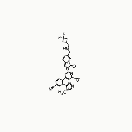 Cn1cnnc1-c1cc(C#N)ccc1-c1cc(C2CC2)nc(-n2cc3ccc(CNCC4CC(F)(F)C4)cn3c2=O)c1